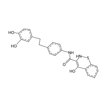 O=C(Nc1ccc(CCc2ccc(O)c(O)c2)cc1)C1=C(O)c2ccccc2SN1